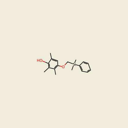 Cc1cc(OC[Si](C)(C)c2ccccc2)c(C)c(C)c1O